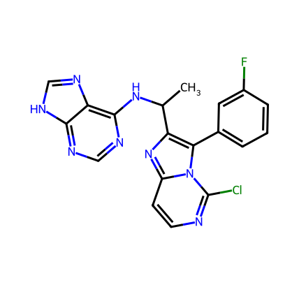 CC(Nc1ncnc2[nH]cnc12)c1nc2ccnc(Cl)n2c1-c1cccc(F)c1